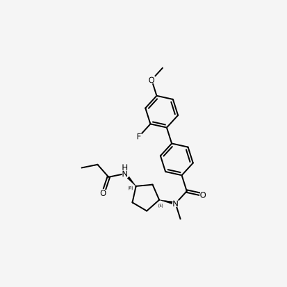 CCC(=O)N[C@@H]1CC[C@H](N(C)C(=O)c2ccc(-c3ccc(OC)cc3F)cc2)C1